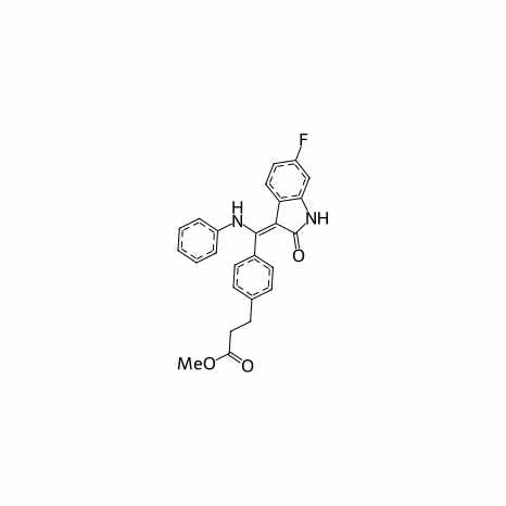 COC(=O)CCc1ccc(C(Nc2ccccc2)=C2C(=O)Nc3cc(F)ccc32)cc1